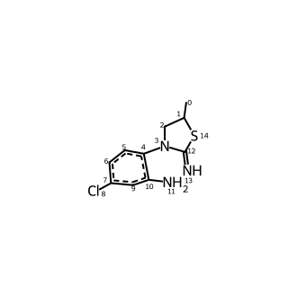 CC1CN(c2ccc(Cl)cc2N)C(=N)S1